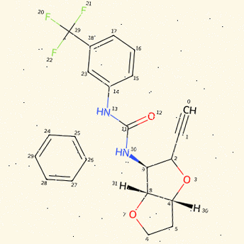 C#CC1O[C@@H]2CCO[C@@H]2[C@H]1NC(=O)Nc1cccc(C(F)(F)F)c1.c1ccccc1